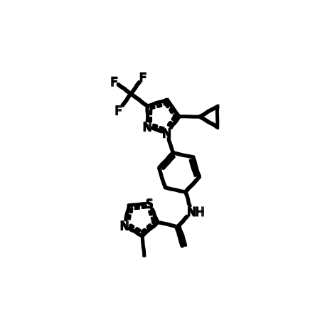 C=C(NC1C=CC(n2nc(C(F)(F)F)cc2C2CC2)=CC1)c1scnc1C